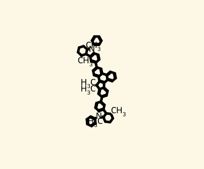 CC1CCCC2(C)C1c1cc(-c3ccc4c(c3)C(C)(C)c3c-4c4ccccc4c4cc(-c5ccc6c(c5)C5C(C)CCCC5(C)N6c5ccccc5)ccc34)ccc1N2c1ccccc1